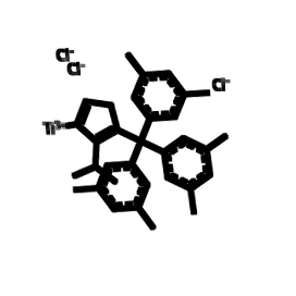 Cc1cc(C)cc(C(C2=C(C(C)C)[C]([Ti+3])=CC2)(c2cc(C)cc(C)c2)c2cc(C)cc(C)c2)c1.[Cl-].[Cl-].[Cl-]